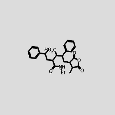 CCNC(=O)C(CC(C)c1ccccc1)C(C(=O)O)C(CC1C(=O)OC(=O)C1C)c1ccccc1